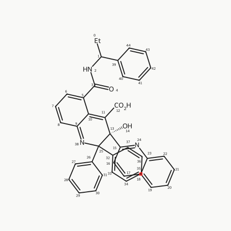 CCC(NC(=O)c1cccc2c1=C(C(=O)O)[C@@](O)(c1ccc3ccccc3n1)C(c1ccccc1)(c1ccccc1)N=2)c1ccccc1